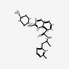 Cc1cccc(CC(C)NC(=O)c2cccc3cnc(N[C@H]4CC[C@H](O)CC4)nc23)n1